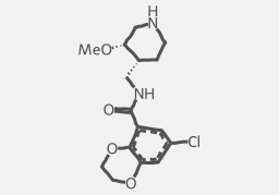 CO[C@@H]1CNCC[C@@H]1CNC(=O)c1cc(Cl)cc2c1OCCO2